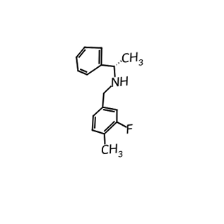 Cc1ccc(CN[C@@H](C)c2ccccc2)cc1F